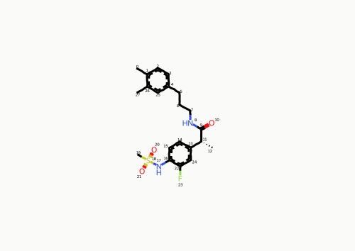 Cc1ccc(CCCNC(=O)[C@H](C)c2ccc(NS(C)(=O)=O)c(F)c2)cc1C